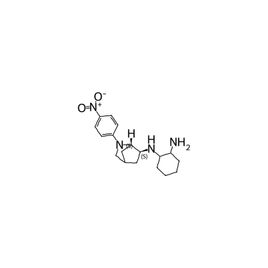 NC1CCCCC1N[C@H]1CC2C[C@@H]1N(c1ccc([N+](=O)[O-])cc1)C2